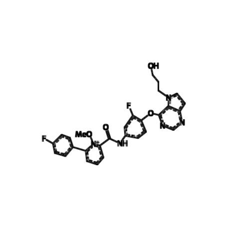 CO[n+]1c(C(=O)Nc2ccc(Oc3ncnc4ccn(CCCO)c34)c(F)c2)cccc1-c1ccc(F)cc1